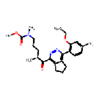 COCOc1cc(C(F)(F)F)ccc1-c1nnc(C(=O)[C@@H](C)CCCN(C)C(=O)OC(C)(C)C)c2c1CCC2